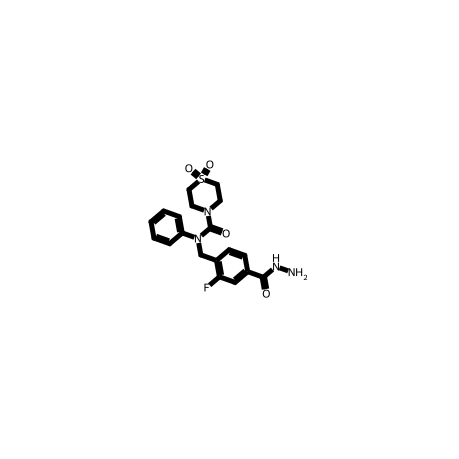 NNC(=O)c1ccc(CN(C(=O)N2CCS(=O)(=O)CC2)c2ccccc2)c(F)c1